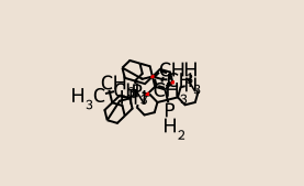 CC(C)(C)C12CC3CC(CC(P(Cc4ccccc4C(P)(C4CCCNC4)C4CCCNC4)C45CC6CC(C4)CC(C(C)(C)C)(C6)C5)(C3)C1)C2